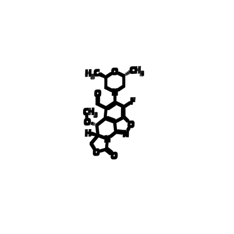 CO[C@@H]1c2c(C=O)c(N3C[C@@H](C)O[C@H](C)C3)c(F)c3onc(c23)N2C(=O)OC[C@H]12